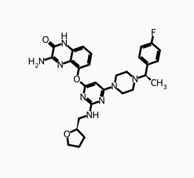 C[C@H](c1ccc(F)cc1)N1CCN(c2cc(Oc3cccc4[nH]c(=O)c(N)nc34)nc(NC[C@H]3CCCO3)n2)CC1